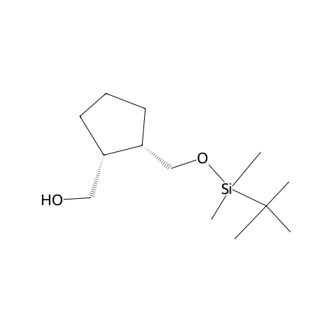 CC(C)(C)[Si](C)(C)OC[C@H]1CCC[C@H]1CO